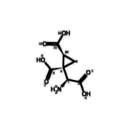 N[C@H](C(=O)O)[C@]1(C(=O)O)C[C@@H]1C(=O)O